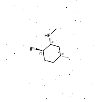 CP[C@@H]1C[C@H](C)CC[C@H]1C(C)C